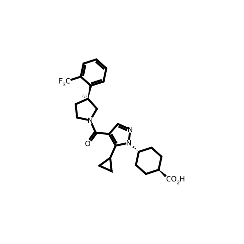 O=C(c1cnn([C@H]2CC[C@H](C(=O)O)CC2)c1C1CC1)N1CC[C@@H](c2ccccc2C(F)(F)F)C1